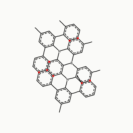 Cc1ccc2c(c1)B1c3cc(C)ccc3N(c3c(-c4ccccc4)cc(C)cc3-c3ccccc3C)c3cccc(c31)N2c1c(-c2ccccc2)cc(C)cc1-c1ccccc1C